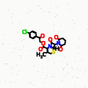 CC1=C(C(=O)OCC(=O)c2ccc(Cl)cc2)N2C(=O)C(N3C(=O)CCCC3=O)[C@@H]2SC1